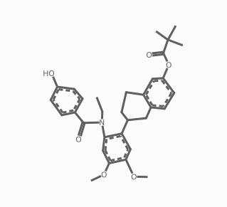 CCN(C(=O)c1ccc(O)cc1)c1cc(OC)c(OC)cc1C1CCc2cc(OC(=O)C(C)(C)C)ccc2C1